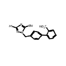 CC(C)(C)c1nc(S)nn1Cc1ccc(-c2ccccc2C(=O)O)cc1